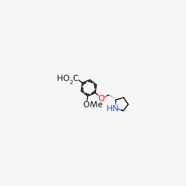 COc1cc(C(=O)O)ccc1OC[C@@H]1CCCN1